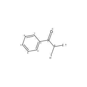 O=C(c1ccccc1)C(I)I